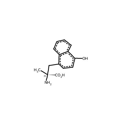 C[C@](N)(Cc1ccc(O)c2ccccc12)C(=O)O